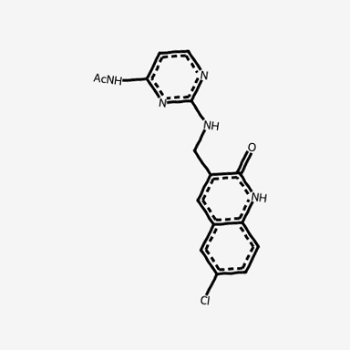 CC(=O)Nc1ccnc(NCc2cc3cc(Cl)ccc3[nH]c2=O)n1